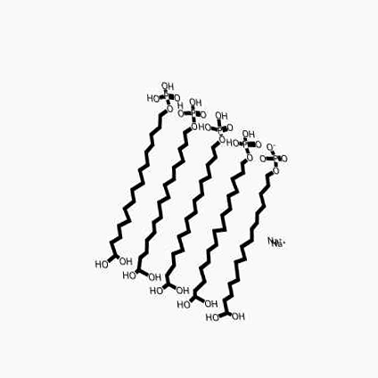 O=P(O)(O)OCCCCCCCCCCCCCCCC(O)O.O=P(O)(O)OCCCCCCCCCCCCCCCC(O)O.O=P(O)(O)OCCCCCCCCCCCCCCCC(O)O.O=P(O)(O)OCCCCCCCCCCCCCCCC(O)O.O=P([O-])([O-])OCCCCCCCCCCCCCCCC(O)O.[Na+].[Na+]